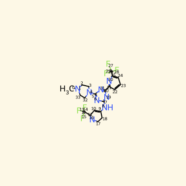 CN1CCN(c2nc(NC3=CC(C(F)(F)F)=NCC3)nc(-c3cccc(C(F)(F)F)n3)n2)CC1